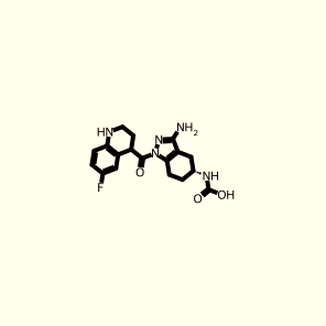 Nc1nn(C(=O)C2CCNc3ccc(F)cc32)c2c1C[C@H](NC(=O)O)CC2